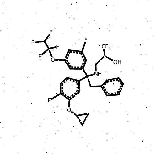 O[C@@H](CN[C@@](Cc1ccccc1)(c1cc(F)cc(OC(F)(F)C(F)F)c1)c1ccc(F)c(OC2CC2)c1)C(F)(F)F